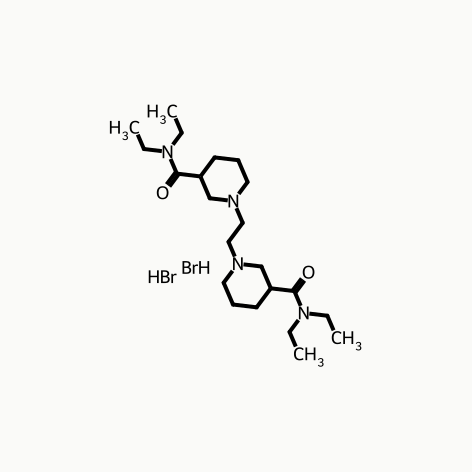 Br.Br.CCN(CC)C(=O)C1CCCN(CCN2CCCC(C(=O)N(CC)CC)C2)C1